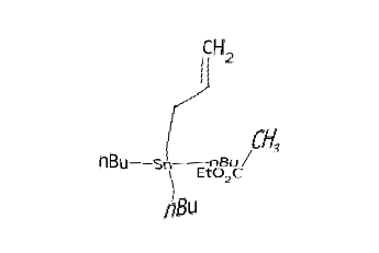 C=C[CH2][Sn]([CH2]CCC)([CH2]CCC)[CH2]CCC.CCOC(C)=O